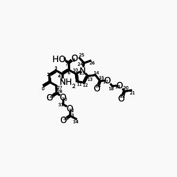 C=C(/C=C\C(N)=C(/C(=O)O)c1ccc(CC(=O)OCOC(C)=O)n1C(C)C)CC(=O)OCOC(C)=O